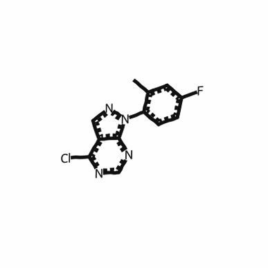 Cc1cc(F)ccc1-n1ncc2c(Cl)ncnc21